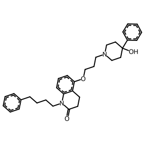 O=C1CCc2c(OCCCN3CCC(O)(c4ccccc4)CC3)cccc2N1CCCCc1ccccc1